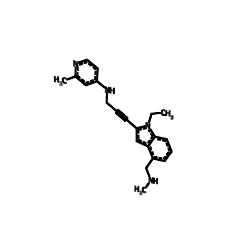 CCn1c(C#CCNc2ccnc(C)c2)cc2c(CNC)cccc21